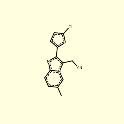 Cc1ccc2nc(-c3ccc(Cl)s3)c(CC#N)n2c1